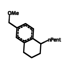 CCCCCC1CCCc2cc(COC)ccc21